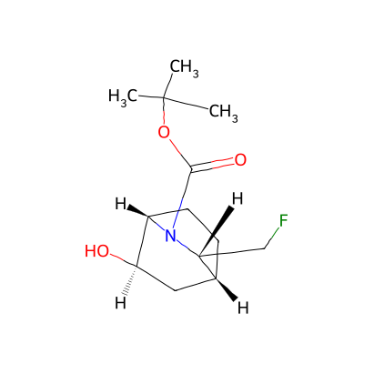 CC(C)(C)OC(=O)N1[C@H](CF)[C@@H]2CC[C@H]1[C@H](O)C2